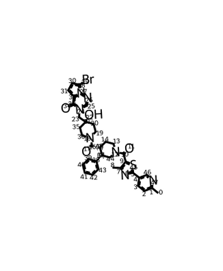 Cc1ccc(-c2nc(C)c(C(=O)N3CC[C@@H](C(=O)N4CCC(O)(Cn5cnn6c(Br)ccc6c5=O)CC4)[C@H](c4ccccc4)C3)s2)cn1